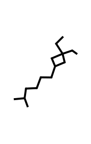 CCC1(CC)CC(CCCCC(C)C)C1